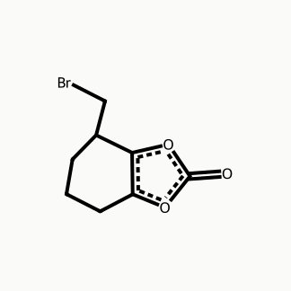 O=c1oc2c(o1)C(CBr)CCC2